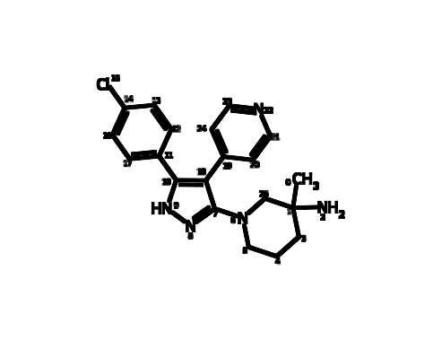 CC1(N)CCCN(c2n[nH]c(-c3ccc(Cl)cc3)c2-c2ccncc2)C1